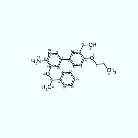 CCCOc1ccc(-c2cnc(N)c(OC(C)c3ccccc3)c2)cc1CO